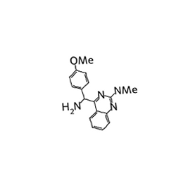 CNc1nc(C(N)c2ccc(OC)cc2)c2ccccc2n1